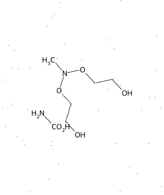 CN(OCCO)OCCO.NC(=O)O